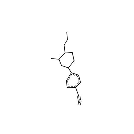 CCCC1CCC(c2ccc(C#N)cc2)CC1C